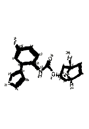 CN1[C@@H]2CC[C@H]1C[C@@H](OC(=O)Nc1ccc(F)cc1-c1ccsc1)C2